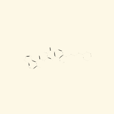 CCc1cnc2[nH]cnc2c1C(=O)Nc1nc2c(OC)c(OCCCN3CCOCC3)ccc2c(=O)n1CC